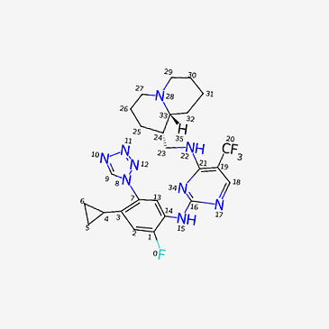 Fc1cc(C2CC2)c(-n2cnnn2)cc1Nc1ncc(C(F)(F)F)c(NC[C@@H]2CCCN3CCCC[C@H]23)n1